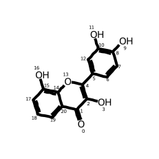 O=c1c(O)c(-c2ccc(O)c(O)c2)oc2c(O)cccc12